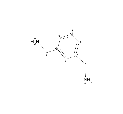 NCc1cncc(CN)c1